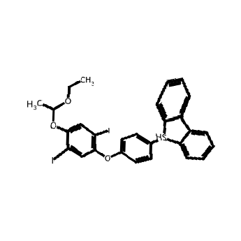 CCOC(C)Oc1cc(I)c(Oc2ccc([SH]3c4ccccc4-c4ccccc43)cc2)cc1I